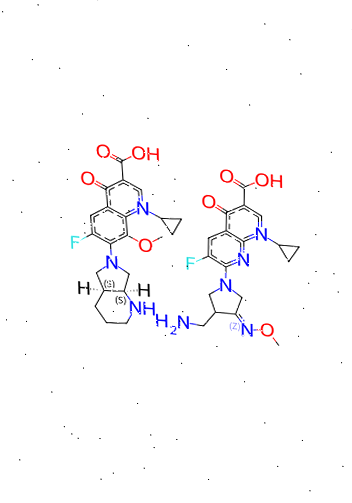 CO/N=C1\CN(c2nc3c(cc2F)c(=O)c(C(=O)O)cn3C2CC2)CC1CN.COc1c(N2C[C@@H]3CCCN[C@@H]3C2)c(F)cc2c(=O)c(C(=O)O)cn(C3CC3)c12